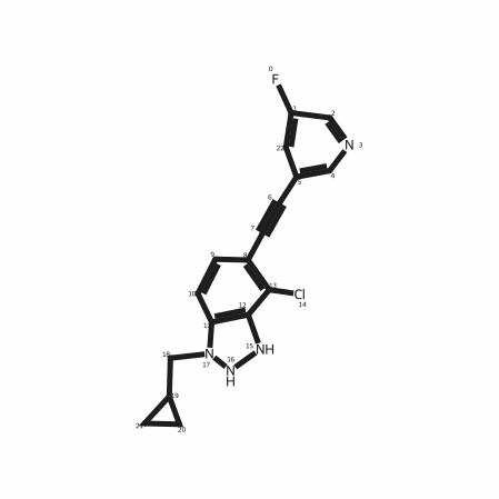 Fc1cncc(C#Cc2ccc3c(c2Cl)NNN3CC2CC2)c1